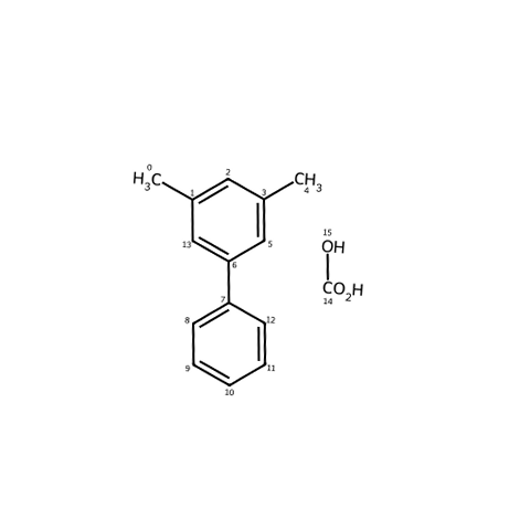 Cc1cc(C)cc(-c2ccccc2)c1.O=C(O)O